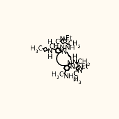 C=C(N)c1cc2c3c(c1)nc(NC(=C)c1cc(C)nn1CC)n3C/C=C/Cn1c(NC(=C)C3CC(C)=NN3CC)nc3cc(C(=C)NC4CC(C)C4)cc(c31)CCCCC2